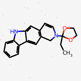 CCC1(N2C=Cc3cc4[nH]c5ccccc5c4cc3C2)OCCO1